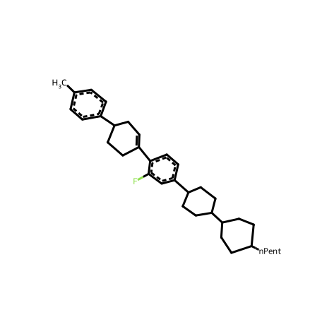 CCCCCC1CCC(C2CCC(c3ccc(C4=CCC(c5ccc(C)cc5)CC4)c(F)c3)CC2)CC1